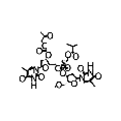 COC[C@H]1OC(n2cc(C)c(=O)[nH]c2=O)C[C@H]1OP(=O)(OC[C@H]1OC(n2cc(C)c(=O)[nH]c2=O)C[C@H]1OC(=O)CCC(C)=O)SCOC(=O)C(C)C